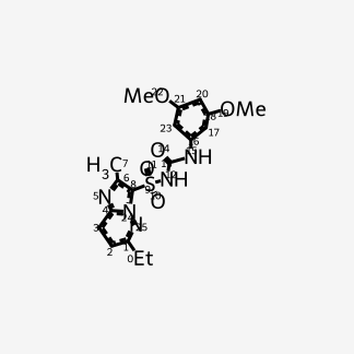 CCc1ccc2nc(C)c(S(=O)(=O)NC(=O)Nc3cc(OC)cc(OC)c3)n2n1